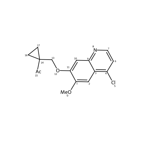 COc1cc2c(Cl)ccnc2cc1OCC1(C(C)=O)CC1